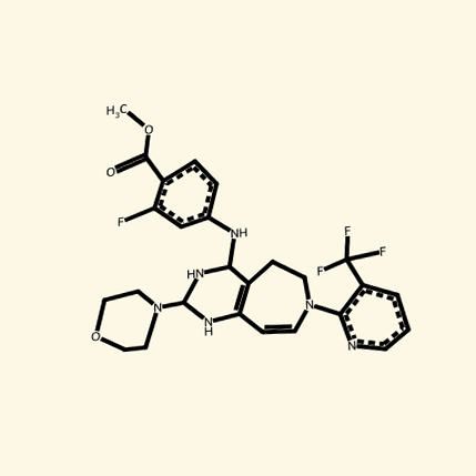 COC(=O)c1ccc(NC2NC(N3CCOCC3)NC3=C2CCN(c2ncccc2C(F)(F)F)C=C3)cc1F